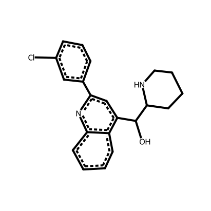 OC(c1cc(-c2cccc(Cl)c2)nc2ccccc12)C1CCCCN1